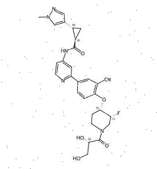 Cn1cc([C@@H]2C[C@H]2C(=O)Nc2ccnc(-c3ccc(O[C@H]4CCN(C(=O)[C@@H](O)CO)C[C@H]4F)c(C#N)c3)c2)cn1